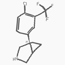 FC(F)(F)c1cc([C@]23CNCC2C3)ccc1Cl